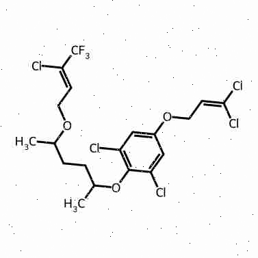 CC(CCC(C)Oc1c(Cl)cc(OCC=C(Cl)Cl)cc1Cl)OCC=C(Cl)C(F)(F)F